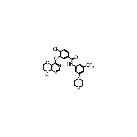 O=C(Nc1cc(N2CCOCC2)cc(C(F)(F)F)c1)c1ccc(Cl)c(Oc2ncnc3c2OCCN3)c1